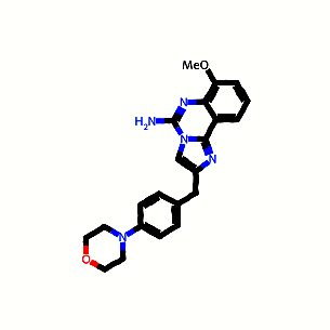 COc1cccc2c1nc(N)n1cc(Cc3ccc(N4CCOCC4)cc3)nc21